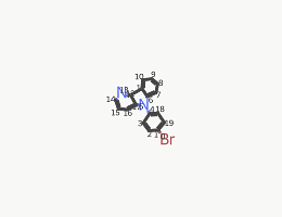 Brc1ccc(-n2c3ccccc3c3ncccc32)cc1